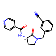 N#Cc1cccc(CN2CC[C@H](NC(=O)c3ccncc3)C2=O)c1